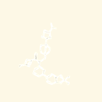 CC(C)c1noc(C23CCC(CN(C(=O)C45CC(F)(C4)C5)c4cccc(-c5ccc6c(c5)OC(F)(F)O6)c4)(CC2)CC3)n1